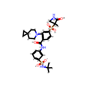 CC(C)(C)NS(=O)(=O)c1cccc(NC(=O)c2ccc(S(=O)(=O)C3(C)CNC3=O)cc2N2CCC3(CC2)CC3)c1